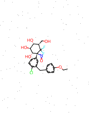 CCOc1ccc(Cc2cc([C@@]3(N=O)[C@H](O)[C@@H](O)[C@H](O)[C@@H](CO)C3(F)F)ccc2Cl)cc1